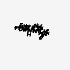 CC1(C)CC(Cn2ncc3ncc(Nc4cc(OC(F)F)[nH]n4)nc32)C(=O)N1